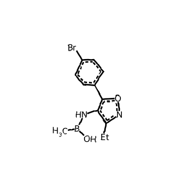 CCc1noc(-c2ccc(Br)cc2)c1NB(C)O